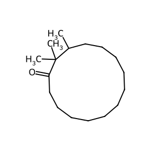 CC1CCCCCCCCCCCC(=O)C1(C)C